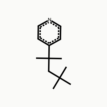 CC(C)(C)CC(C)(C)c1ccncc1